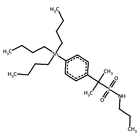 CCC[CH2][Sn]([CH2]CCC)([CH2]CCC)[c]1ccc(C(C)(C)S(=O)(=O)NCCC)cc1